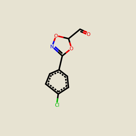 O=CC1ON=C(c2ccc(Cl)cc2)O1